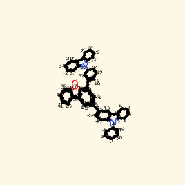 c1ccc(-n2c3ccccc3c3cc(-c4cc(-c5cccc(-n6c7ccccc7c7ccccc76)c5)c5oc6ccccc6c5c4)ccc32)cc1